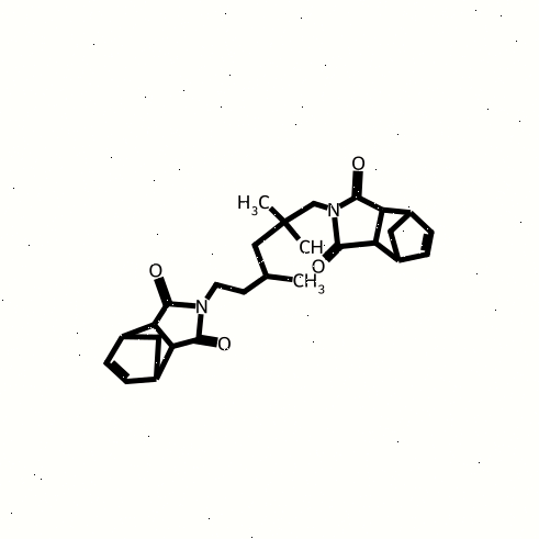 CC(CCN1C(=O)C2C3C=CC(C3)C2C1=O)CC(C)(C)CN1C(=O)C2C3C=CC(C3)C2C1=O